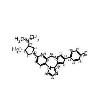 C[C@H]1CN(c2ccc3c(n2)Cn2cc(-c4ccc(F)cc4)cc2-c2nccn2-3)C[C@H]1N(C)C